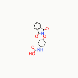 O=C(O)NC1CCC(ON2C(=O)c3ccccc3C2=O)CC1